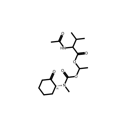 CC(=O)NC(C(=O)OC(C)OC(=O)N(C)[C@@H]1CCCCC1=O)C(C)C